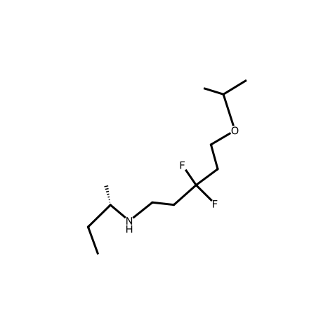 CC[C@H](C)NCCC(F)(F)CCOC(C)C